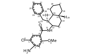 COc1cc(N)c(Cl)cc1C(=O)NC1CC[C@H]2CCCC[C@@H]2N1Cc1ccccc1